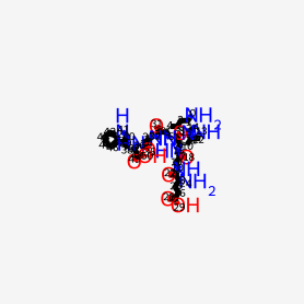 NCCCC[C@H](NC(=O)[C@H](Cc1c[nH]cn1)NC(=O)CNC(=O)[C@@H](N)CCC(=O)O)C(=O)NCC(=O)N[C@@H](Cc1c[nH]c2ccccc12)C(=O)O